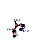 CCc1ccccc1-n1cnc2cc(OC/C(C)=C/C(=C\CCOC3=C(OC)CC(C)C(/N=C\[C@@H]4Cc5ccccc5N4C=O)=C3)OCCCCC(=O)O)c(OC)c(C)c2c1=O